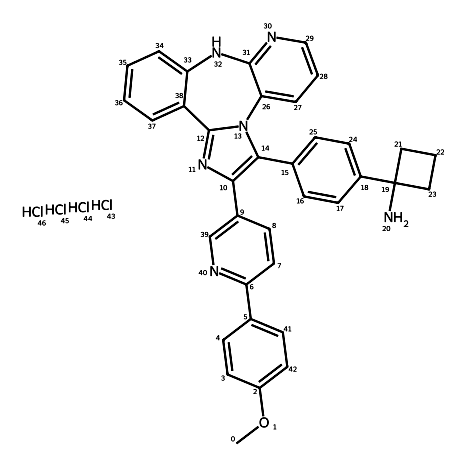 COc1ccc(-c2ccc(-c3nc4n(c3-c3ccc(C5(N)CCC5)cc3)-c3cccnc3Nc3ccccc3-4)cn2)cc1.Cl.Cl.Cl.Cl